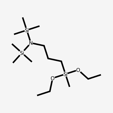 CCO[Si](C)(CCCN([Si](C)(C)C)[Si](C)(C)C)OCC